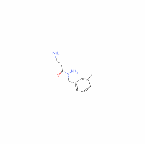 Cc1cccc(CN(N)C(=O)CCN)c1